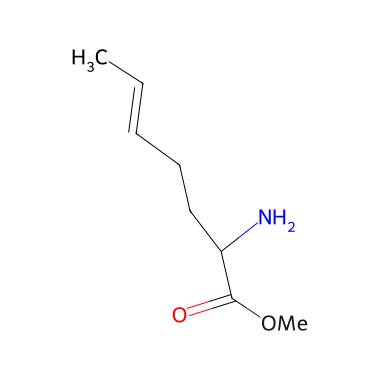 CC=CCCC(N)C(=O)OC